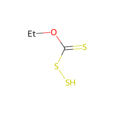 CCOC(=S)SS